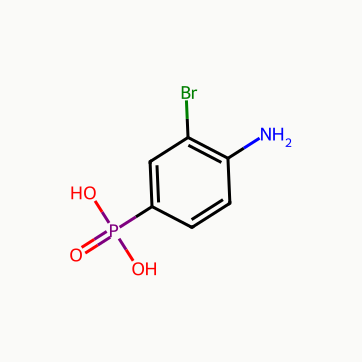 Nc1ccc(P(=O)(O)O)cc1Br